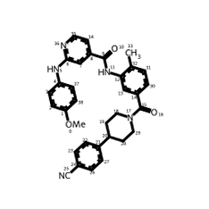 COc1ccc(Nc2cc(C(=O)Nc3cc(C(=O)N4CCC(c5ccc(C#N)cc5)CC4)ccc3C)ccn2)cc1